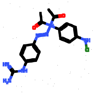 CC(=O)[N+](N=Nc1ccc(NC(=N)N)cc1)(C(C)=O)c1ccc(NCl)cc1